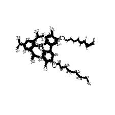 CCCCCCCCOc1cc2c(cc1C)B(c1c(C(C)C)cc(C(C)C)cc1C(C)C)c1cc(C)c(OCCCCCCCC)cc1-2